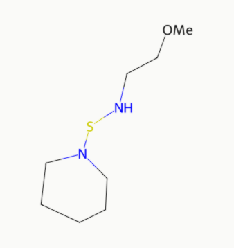 COCCNSN1CCCCC1